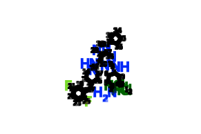 Cl.Cl.Cl.N[C@H]1CC[C@H](Nc2nc(NN3CCC(Cc4cc(F)ccc4F)CC3)c3ncn(C4CCCC4)c3n2)CC1